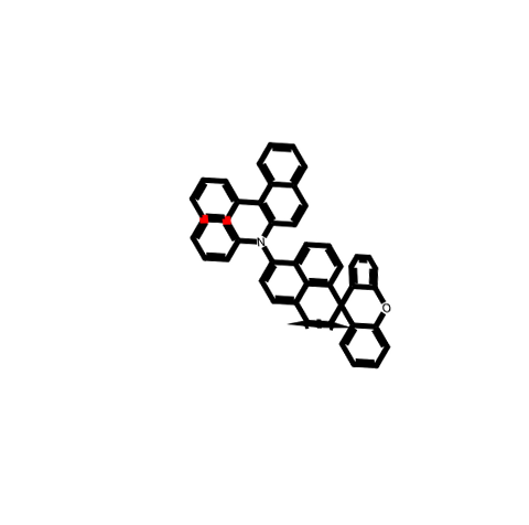 c1ccc(-c2c(N(c3ccccc3)c3ccc4c5c(cccc35)C3(c5ccccc5Oc5ccccc53)c3ccccc3-4)ccc3ccccc23)cc1